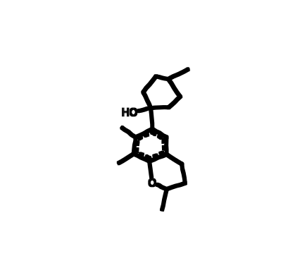 Cc1c(C2(O)CCC(C)CC2)cc2c(c1C)OC(C)CC2